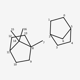 C1CC2CCC1C2.CC12CCC(CC1)C2(C)C